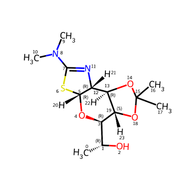 C[C@@H](O)[C@H]1O[C@@H]2SC(N(C)C)=N[C@@H]2[C@H]2OC(C)(C)O[C@@H]21